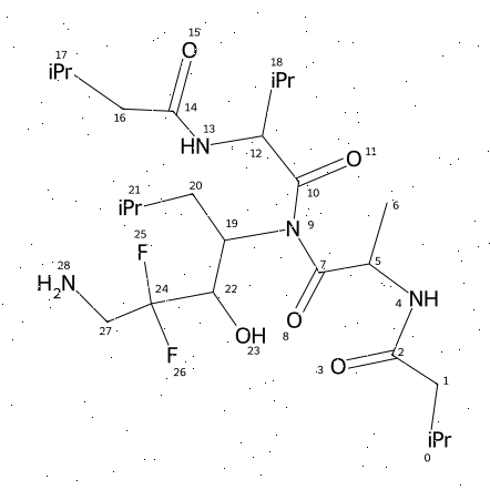 CC(C)CC(=O)NC(C)C(=O)N(C(=O)C(NC(=O)CC(C)C)C(C)C)C(CC(C)C)C(O)C(F)(F)CN